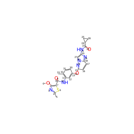 COc1nc(C)sc1C(=O)Nc1cc(Oc2ccc3nc(NC(=O)C4CC4)cn3n2)ccc1C